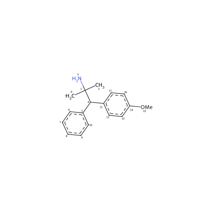 [CH2]C(C)(N)C(c1ccccc1)c1ccc(OC)cc1